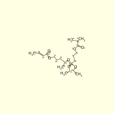 C=C(C)C(=O)OCCC[Si](OCC)(OCC)OC(C)CCCOC(=O)C=CC